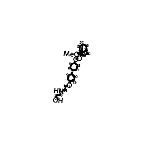 COC1(OO[C@H]2CC[C@@H](c3ccc(OCCNCCO)cc3)CC2)C2CC3CC(C2)CC1C3